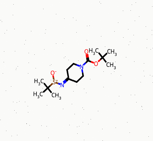 CC(C)(C)OC(=O)N1CCC(=N[S+]([O-])C(C)(C)C)CC1